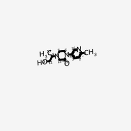 Cc1ccc(N2CCN(C(C)CO)CC2=O)cn1